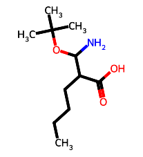 CCCCC(C(=O)O)C(N)OC(C)(C)C